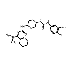 CN(C)c1nc(NC2CCC(NC(=O)Nc3ccc(Cl)c(C(F)(F)F)c3)CC2)nc2c1CCCC2